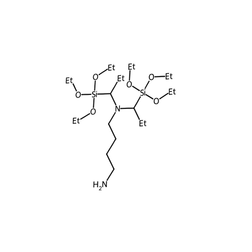 CCO[Si](OCC)(OCC)C(CC)N(CCCCN)C(CC)[Si](OCC)(OCC)OCC